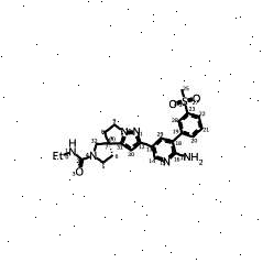 CCNC(=O)N1CC[C@@]2(CCn3nc(-c4cnc(N)c(-c5cccc(S(C)(=O)=O)c5)c4)cc32)C1